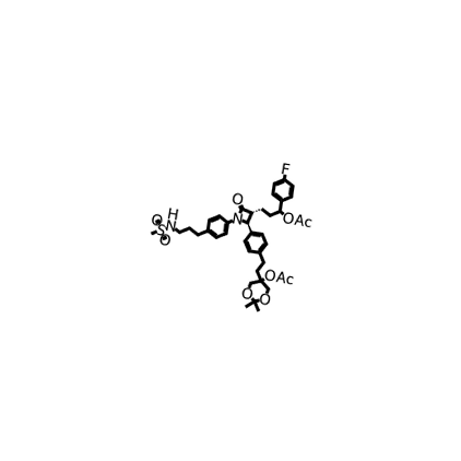 CC(=O)OC(CC[C@H]1C(=O)N(c2ccc(CCCNS(C)(=O)=O)cc2)[C@@H]1c1ccc(CCC2(OC(C)=O)COC(C)(C)OC2)cc1)c1ccc(F)cc1